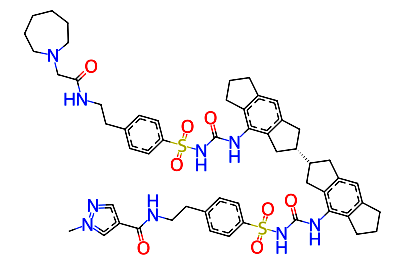 Cn1cc(C(=O)NCCc2ccc(S(=O)(=O)NC(=O)Nc3c4c(cc5c3CC([C@H]3Cc6cc7c(c(NC(=O)NS(=O)(=O)c8ccc(CCNC(=O)CN9CCCCCC9)cc8)c6C3)CCC7)C5)CCC4)cc2)cn1